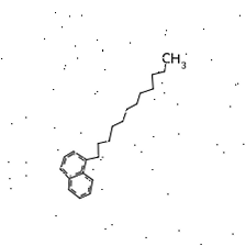 CCCCCCCCCCC[CH]c1cccc2ccccc12